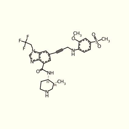 COc1cc(S(C)(=O)=O)ccc1NCC#Cc1cc(C(=O)N[C@H]2CCNC[C@H]2C)c2ncn(CC(F)(F)F)c2c1